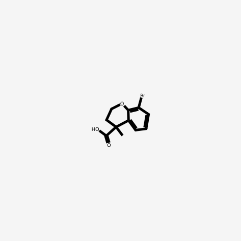 CC1(C(=O)O)CCOc2c(Br)cccc21